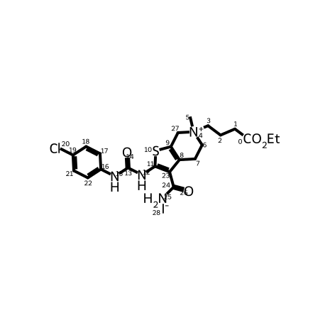 CCOC(=O)CCC[N+]1(C)CCc2c(sc(NC(=O)Nc3ccc(Cl)cc3)c2C(N)=O)C1.[I-]